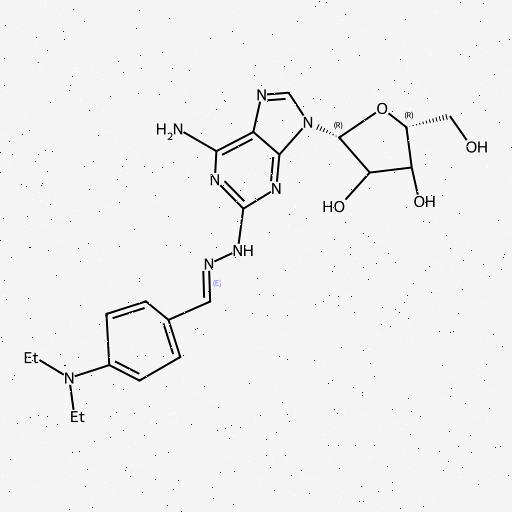 CCN(CC)c1ccc(/C=N/Nc2nc(N)c3ncn([C@@H]4O[C@H](CO)C(O)C4O)c3n2)cc1